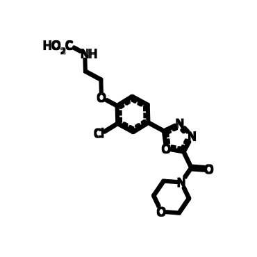 O=C(O)NCCOc1ccc(-c2nnc(C(=O)N3CCOCC3)o2)cc1Cl